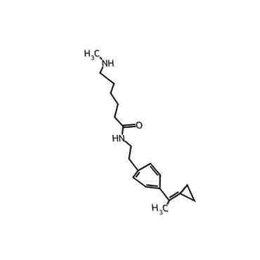 CNCCCCCC(=O)NCCc1ccc(C(C)=C2CC2)cc1